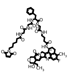 CC[C@@]1(O)COCc2c1cc1n(c2=O)Cc2c-1nc1cc(F)c(C)c3c1c2[C@@H](NC(=O)CCCNC(=O)CNC(=O)C(Cc1ccccc1)NC(=O)CNC(=O)CNC(=O)CCCCCN1C(=O)C=CC1=O)CC3